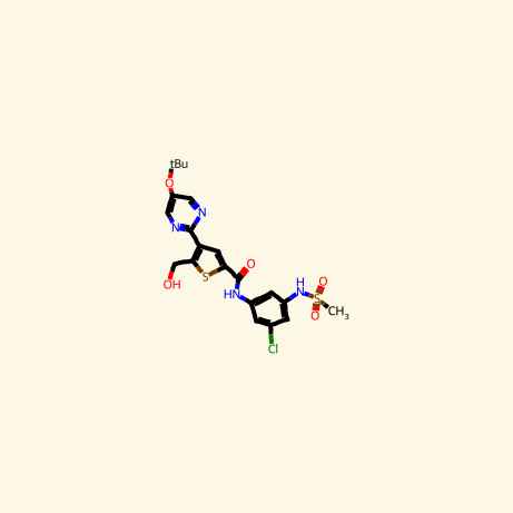 CC(C)(C)Oc1cnc(-c2cc(C(=O)Nc3cc(Cl)cc(NS(C)(=O)=O)c3)sc2CO)nc1